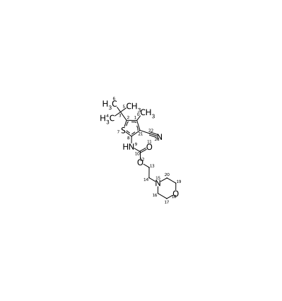 Cc1c(C(C)(C)C)sc(NC(=O)OCCN2CCOCC2)c1C#N